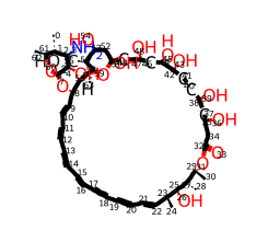 C[C@@H]1[C@@H](N)[C@@H](O)C(O[C@H]2/C=C/C=C/C=C/C=C/C=C/C=C/C=C/[C@H](C)[C@@H](O)[C@@H](C)[C@H](C)OC(=O)C[C@H](O)C[C@H](O)CC[C@@H](O)[C@H](O)C[C@H](O)C[C@]3(O)C[C@H](O)[C@@H](C(=O)O)[C@H](C2)O3)O[C@H]1C